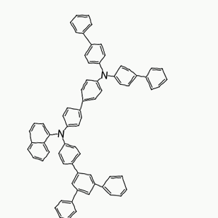 c1ccc(-c2ccc(N(c3ccc(-c4ccccc4)cc3)c3ccc(-c4ccc(N(c5ccc(-c6cc(-c7ccccc7)cc(-c7ccccc7)c6)cc5)c5cccc6ccccc56)cc4)cc3)cc2)cc1